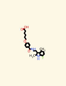 Cc1ccc(F)c2c1C(CCNC(=O)c1ccc(OCCCCCC(=O)O)cc1)C(C)N2